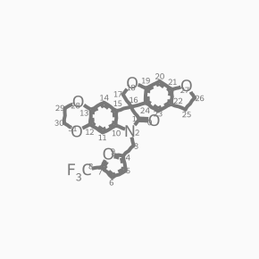 O=C1N(Cc2ccc(C(F)(F)F)o2)c2cc3c(cc2C12COc1cc4c(cc12)CCO4)OCCO3